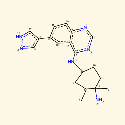 CC1CC(Nc2ncnc3ccc(-c4cn[nH]c4)cc23)CCC1(C)N